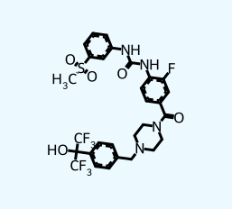 CS(=O)(=O)c1cccc(NC(=O)Nc2ccc(C(=O)N3CCN(Cc4ccc(C(O)(C(F)(F)F)C(F)(F)F)cc4)CC3)cc2F)c1